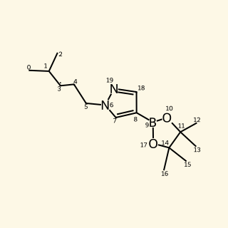 CC(C)[CH]CCn1cc(B2OC(C)(C)C(C)(C)O2)cn1